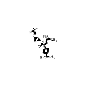 CC(C)CCN(C(=O)Nc1ncc(SCC(=O)O)s1)C1CCC(C(C)C)CC1